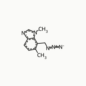 Cc1ccc2ncn(C)c2c1CN=[N+]=[N-]